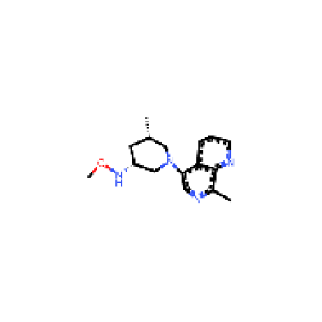 CON[C@@H]1C[C@H](C)CN(c2cnc(C)c3ncccc23)C1